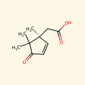 CC1(C)C(=O)C=C[C@]1(C)CC(=O)O